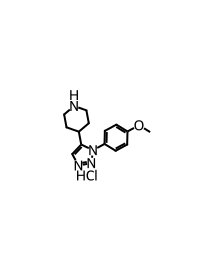 COc1ccc(-n2nncc2C2CCNCC2)cc1.Cl